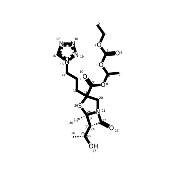 CCOC(=O)OC(C)OC(=O)C1(CCCn2cnnn2)CN2C(=O)[C@H]([C@@H](C)O)[C@H]2S1